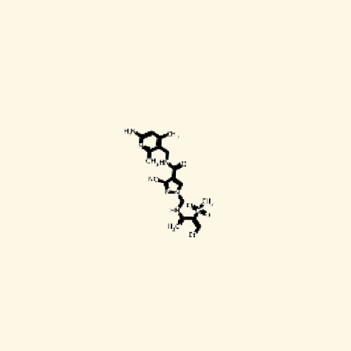 C=C(NCn1cc(C(=O)NCc2c(C)cc(N)nc2C)c(C#N)n1)/C(=C\CC)S(C)(=O)=O